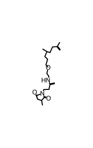 C=C(C)CCC(C)CCCOCCNC(=C)CCN1C(=O)CC(C)C1=O